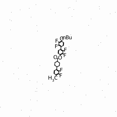 CCCCOc1ccc(-c2ccc(OC(=O)C3CCC(c4ccc(C)c(F)c4F)CC3)c(F)c2F)c(F)c1F